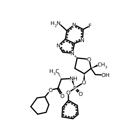 C[C@H](N[P@@](=O)(Oc1ccccc1)O[C@H]1C[C@H](n2cnc3c(N)nc(F)nc32)O[C@]1(C)CO)C(=O)OC1CCCCC1